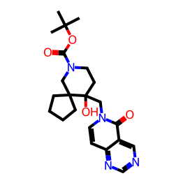 CC(C)(C)OC(=O)N1CCC(O)(Cn2ccc3ncncc3c2=O)C2(CCCC2)C1